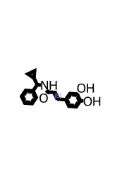 O=C(/C=C/c1ccc(O)c(O)c1)NC(c1ccccc1)C1CC1